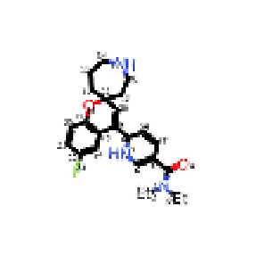 CCN(CC)C(=O)C1=CNC(C2=CC3(CCCNCC3)Oc3ccc(F)cc32)C=C1